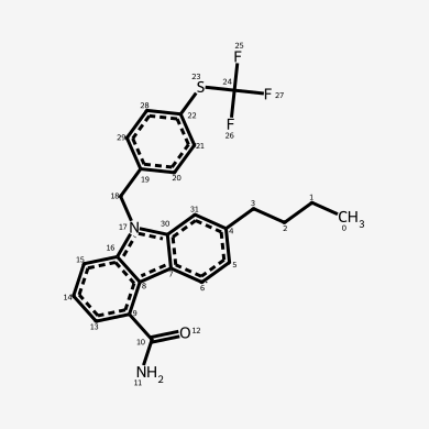 CCCCc1c[c]c2c3c(C(N)=O)cccc3n(Cc3ccc(SC(F)(F)F)cc3)c2c1